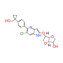 OCC1(c2ccc(-c3nc4cc(O[C@@H]5CO[C@H]6[C@@H]5OC[C@H]6O)[nH]c4cc3Cl)cc2)CC1